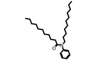 CCCCCCCCCCCN(C(=O)CCCCCCCCCC)c1ccccc1